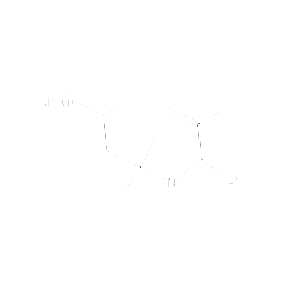 C=C(C)C(CC)NC(C)(C)CC(C)C(C)CCC